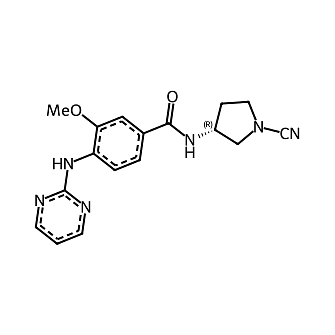 COc1cc(C(=O)N[C@@H]2CCN(C#N)C2)ccc1Nc1ncccn1